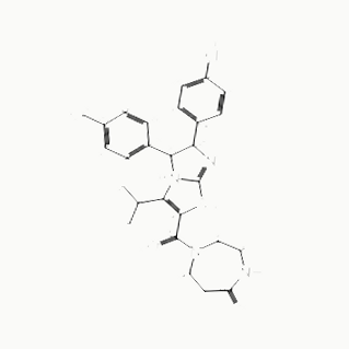 CC(C)C1=C(C(=O)N2CCNC(=O)CC2)SC2=NC(c3ccc(Cl)cc3)C(c3ccc(Cl)cc3)N21